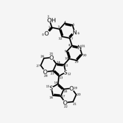 O=C(O)c1ccnc(-c2cc(-c3sc(-c4scc5c4OCCO5)c4c3OCCO4)ccn2)c1